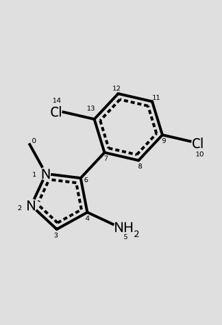 Cn1ncc(N)c1-c1cc(Cl)ccc1Cl